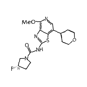 COc1ncc(C2CCOCC2)c2sc(NC(=O)N3CC[C@H](F)C3)nc12